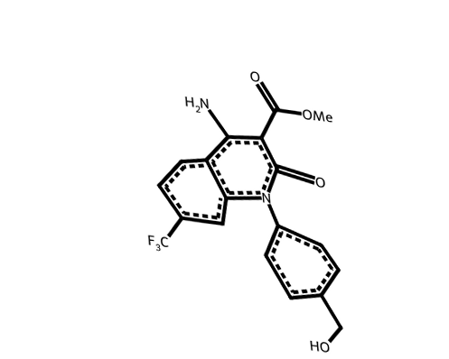 COC(=O)c1c(N)c2ccc(C(F)(F)F)cc2n(-c2ccc(CO)cc2)c1=O